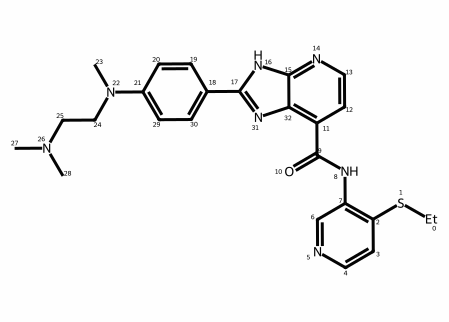 CCSc1ccncc1NC(=O)c1ccnc2[nH]c(-c3ccc(N(C)CCN(C)C)cc3)nc12